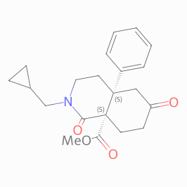 COC(=O)[C@@]12CCC(=O)C[C@]1(c1ccccc1)CCN(CC1CC1)C2=O